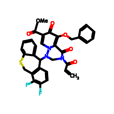 C=CC(=O)N1CN(C2c3ccccc3SCc3c2ccc(F)c3F)n2cc(C(=O)OC)c(=O)c(OCc3ccccc3)c2C1=O